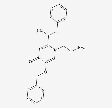 NCCn1cc(OCc2ccccc2)c(=O)cc1C(O)Cc1ccccc1